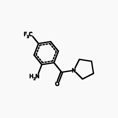 Nc1cc(C(F)(F)F)ccc1C(=O)N1CCCC1